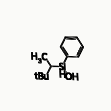 CC([SiH](O)c1ccccc1)C(C)(C)C